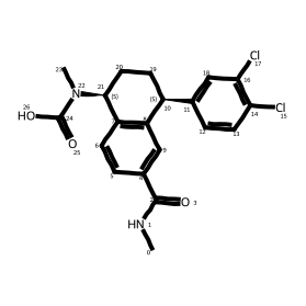 CNC(=O)c1ccc2c(c1)[C@H](c1ccc(Cl)c(Cl)c1)CC[C@@H]2N(C)C(=O)O